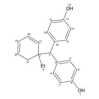 CCC1(C(c2ccc(O)cc2)c2ccc(O)cc2)C=CC=CC1